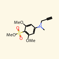 C#CCN(C)c1cc(OC)c(S(=O)(=O)OC)c(OC)c1